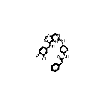 O=C(Cc1ccccc1)NC1CCC(Nc2ncc3ncnc(Nc4ccc(F)c(Cl)c4)c3n2)CC1